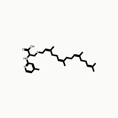 CC(C)=CCCC(C)=CCCC(C)=CCCC(C)=CCSCC(Nc1cc(C)ccn1)C(=O)O